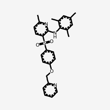 Cc1cc(C)c(Nc2nc(C)ccc2S(=O)(=O)c2ccc(OCc3ccccn3)cc2)c(C)c1